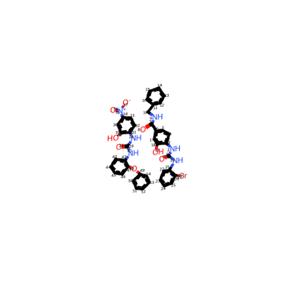 O=C(Nc1ccc(C(=O)NCc2ccccc2)cc1O)Nc1ccccc1Br.O=C(Nc1ccc([N+](=O)[O-])cc1O)Nc1ccccc1Oc1ccccc1